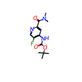 CN(C)C(=O)c1cc(NC(=O)OC(C)(C)C)c(F)cn1